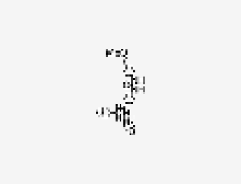 COCCc1ccc(NC(=O)Nc2ccc(-c3nc(C4CCOCC4)nc(N4CCOC[C@H]4C)n3)cc2)cc1